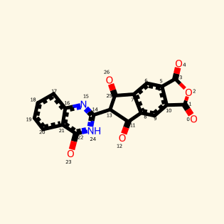 O=C1OC(=O)c2cc3c(cc21)C(=O)C(c1nc2ccccc2c(=O)[nH]1)C3=O